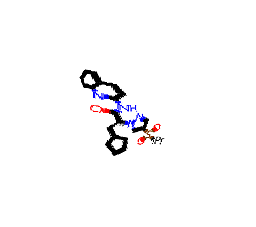 CC(C)S(=O)(=O)c1cnn([C@@H](CC2CCCC2)C(=O)Nc2ccc3ccccc3n2)c1